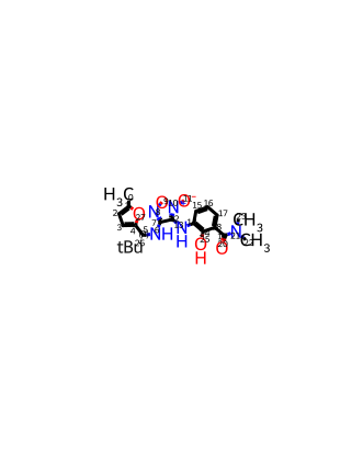 Cc1ccc([C@H](Nc2no[n+]([O-])c2Nc2cccc(C(=O)N(C)C)c2O)C(C)(C)C)o1